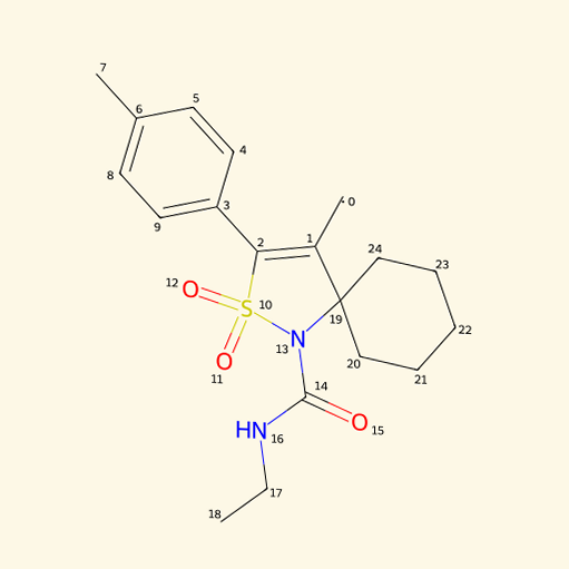 [CH2]C1=C(c2ccc(C)cc2)S(=O)(=O)N(C(=O)NCC)C12CCCCC2